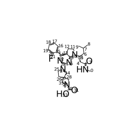 CNC(=O)C[C@H](CC(C)C)N1CCc2c(-c3ccccc3F)nc(N3CCC4(CN(C(=O)O)C4)C3)nc21